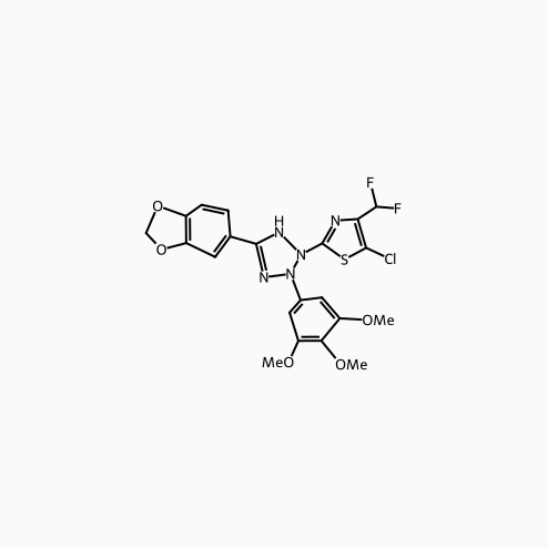 COc1cc(N2N=C(c3ccc4c(c3)OCO4)NN2c2nc(C(F)F)c(Cl)s2)cc(OC)c1OC